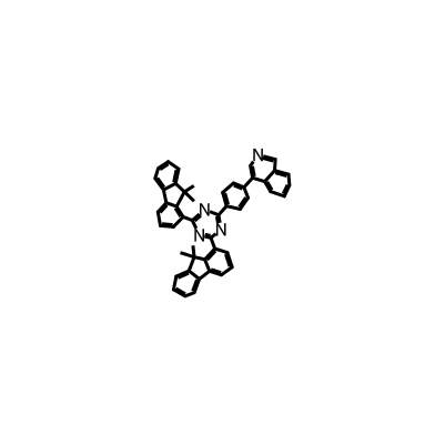 CC1(C)c2ccccc2-c2cccc(-c3nc(-c4ccc(-c5cncc6ccccc56)cc4)nc(-c4cccc5c4C(C)(C)c4ccccc4-5)n3)c21